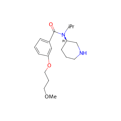 COCCCOc1cccc(C(=O)N(C(C)C)[C@@H]2CCCNC2)c1